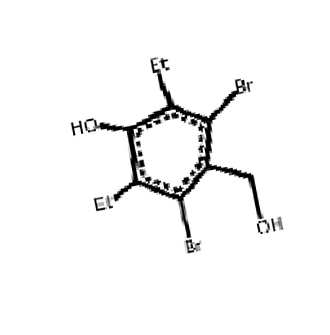 CCc1c(O)c(CC)c(Br)c(CO)c1Br